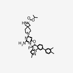 Cc1ccn(-c2cc(-c3ccc(C)c(C)c3)ccc2[C@@H](Oc2cc(N3CCC4(CC3)CN[C@H](C(=O)OC(C)C)C4)nc(N)n2)C(F)(F)F)n1